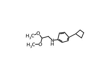 COC(CNc1ccc(C2CCC2)cc1)OC